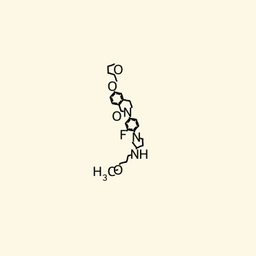 COCCCNC1CCN(c2ccc(N3CCc4cc(OCC5CCCO5)ccc4C3=O)cc2F)C1